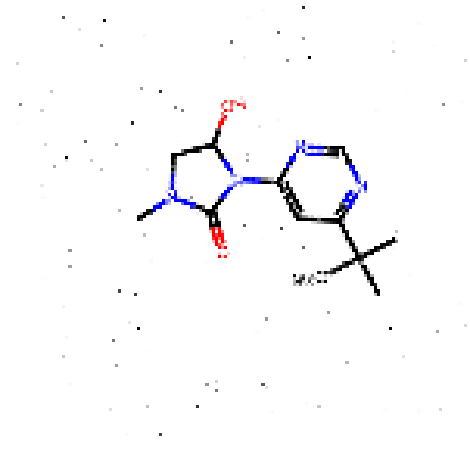 COC(C)(C)c1cc(N2C(=O)N(C)CC2O)ncn1